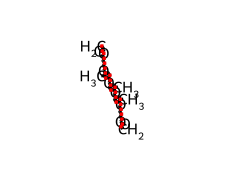 C=CC(=O)OCCCCCCOc1ccc(COc2ccc(OCc3ccc(OCCCCCCOC(=O)C=C)c(C)c3)c(C)c2)cc1C